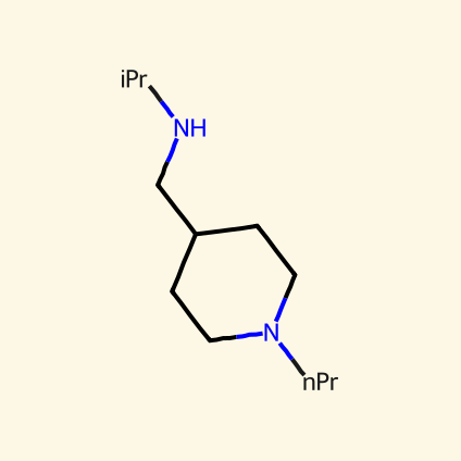 CCCN1CCC(CNC(C)C)CC1